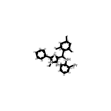 Cc1cc(C)c(C(Nc2c(C(C)C)cccc2C(C)C)c2cn(C)c(-c3ccccc3)n2)c(C)c1